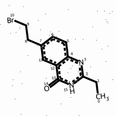 CCc1nc2ccc(CCBr)cc2c(=O)[nH]1